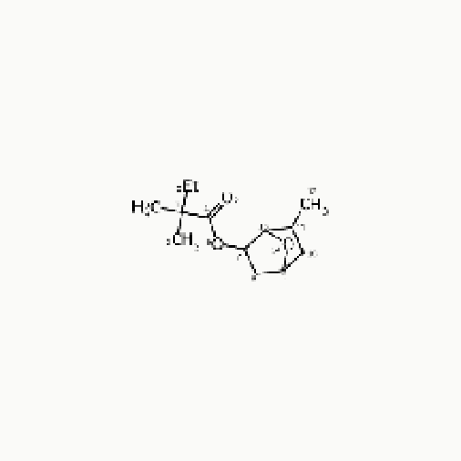 CCC(C)(C)C(=O)OC1CC2CC(C)C1O2